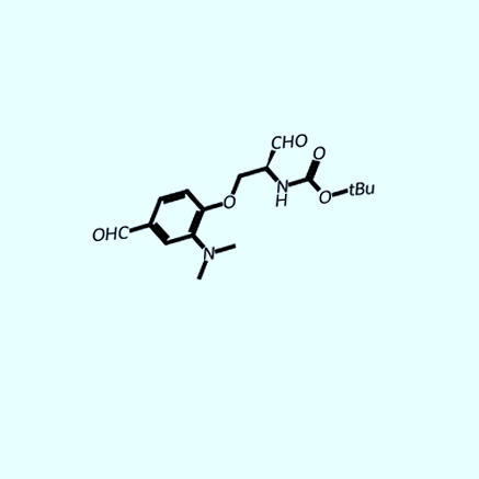 CN(C)c1cc(C=O)ccc1OC[C@@H](C=O)NC(=O)OC(C)(C)C